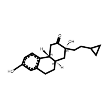 O=C1C[C@H]2c3ccc(O)cc3CC[C@@H]2C[C@]1(O)CCC1CC1